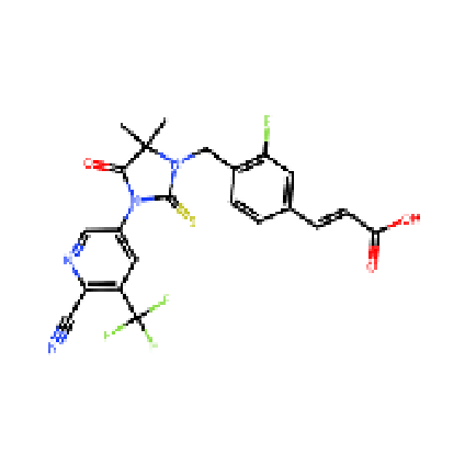 CC1(C)C(=O)N(c2cnc(C#N)c(C(F)(F)F)c2)C(=S)N1Cc1ccc(/C=C/C(=O)O)cc1F